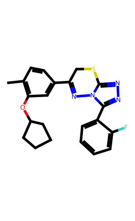 Cc1ccc(C2=Nn3c(nnc3-c3ccccc3F)SC2)cc1OC1CCCC1